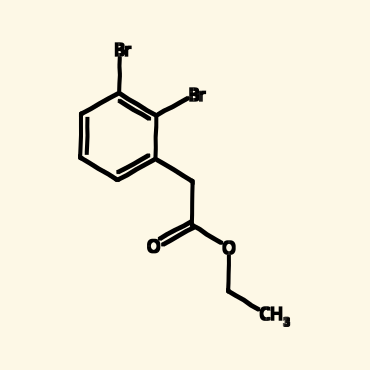 CCOC(=O)Cc1cccc(Br)c1Br